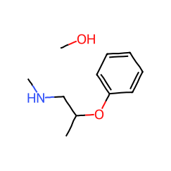 CNCC(C)Oc1ccccc1.CO